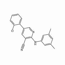 Cc1cc(C)cc(Nc2ncc(-c3ccccc3Cl)cc2C#N)c1